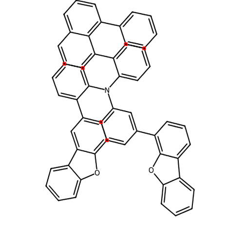 c1ccc(-c2cccc3cccc(-c4ccccc4N(c4cccc(-c5cccc6c5oc5ccccc56)c4)c4ccccc4-c4ccc5oc6ccccc6c5c4)c23)cc1